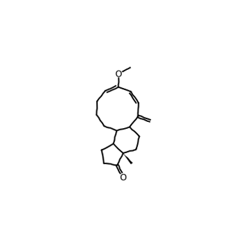 C=C1/C=C\C(OC)=C/CCCC2C1CC[C@]1(C)C(=O)CCC21